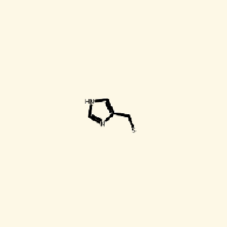 [S]Cc1c[nH]cn1